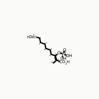 CCCCCCCCCCCCCCCCC(OP(=O)(O)O)=C(C)C(=O)O